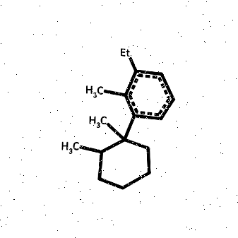 CCc1cccc(C2(C)CCCCC2C)c1C